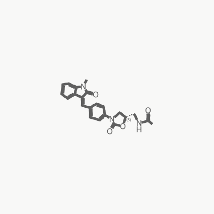 CC(=O)NC[C@H]1CN(c2ccc(C=C3C(=O)N(C)c4ccccc43)cc2)C(=O)O1